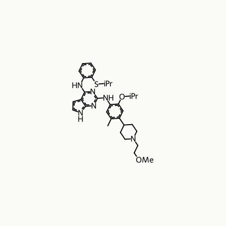 COCCN1CCC(c2cc(OC(C)C)c(Nc3nc(Nc4ccccc4SC(C)C)c4cc[nH]c4n3)cc2C)CC1